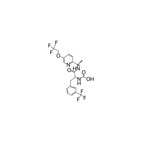 C[C@@H](NC(=O)C(Cc1cccc(C(F)(F)F)c1)NC(=O)O)c1ccc(OCC(F)(F)F)cn1